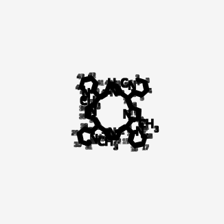 C[n+]1ccccc1C1=C2C=CC(=N2)C(c2cccc[n+]2C)=C2C=CC(=N2)C(c2cccc[n+]2C)=C2C=CC(=N2)C(c2cccc[n+]2C)=C2C=CC1=N2